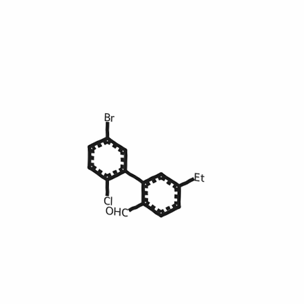 CCc1ccc(C=O)c(-c2cc(Br)ccc2Cl)c1